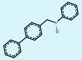 [O-][S@+](Cc1ccc(-c2ccccc2)cc1)c1ccccc1